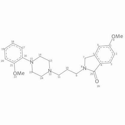 COc1ccc2c(c1)CN(CCCN1CCN(c3ccccc3OC)CC1)C2=O